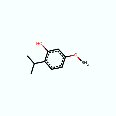 BOc1ccc(C(C)C)c(O)c1